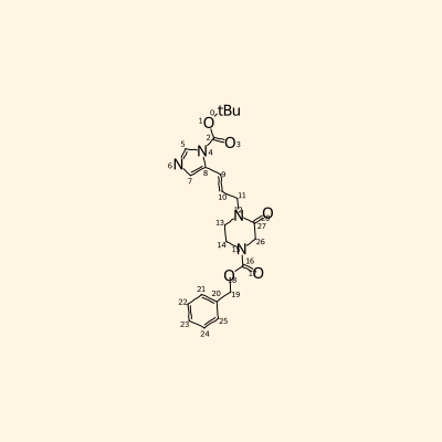 CC(C)(C)OC(=O)n1cncc1/C=C/CN1CCN(C(=O)OCc2ccccc2)CC1=O